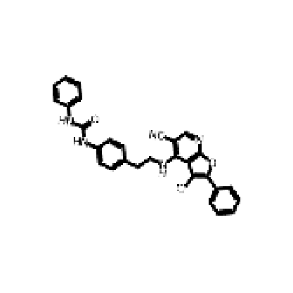 N#Cc1cnc2oc(-c3ccccc3)c(Cl)c2c1NCCc1ccc(NC(=O)Nc2ccccc2)cc1